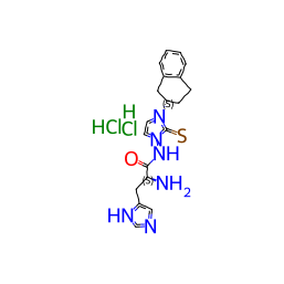 Cl.Cl.N[C@@H](Cc1cnc[nH]1)C(=O)Nn1ccn([C@H]2CCc3ccccc3C2)c1=S